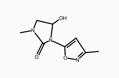 Cc1cc(N2C(=O)N(C)CC2O)on1